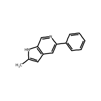 Cc1cc2cc(-c3ccccc3)ncc2[nH]1